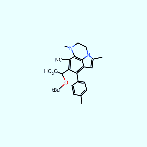 Cc1ccc(-c2c(C(OC(C)(C)C)C(=O)O)c(C#N)c3c4c2cc(C)n4CCN3C)cc1